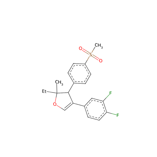 CCC1(C)OC=C(c2ccc(F)c(F)c2)C1c1ccc(S(C)(=O)=O)cc1